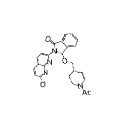 CC(=O)N1CCC(COC2c3ccccc3C(=O)N2c2ccc3ccc(Cl)nc3n2)CC1